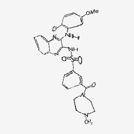 COc1ccc(Cl)c(Nc2nc3ccccc3nc2NS(=O)(=O)c2cccc(C(=O)N3CCN(C)CC3)c2)c1